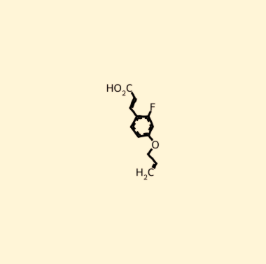 C=CCOc1ccc(C=CC(=O)O)c(F)c1